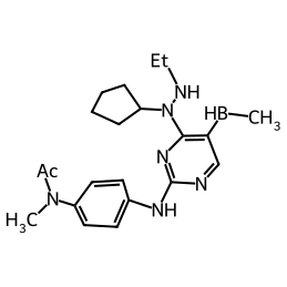 CBc1cnc(Nc2ccc(N(C)C(C)=O)cc2)nc1N(NCC)C1CCCC1